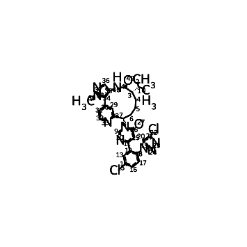 CC(C)[C@@H]1CCC[C@H](n2cnc(-c3cc(Cl)ccc3-n3cc(Cl)nn3)cc2=O)c2cc(ccn2)-c2c(cnn2C)NC1=O